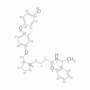 CC(NC(=O)CCCN1CCCC1COc1ccc(Oc2ccc(Cl)cc2)cc1)c1ccccc1